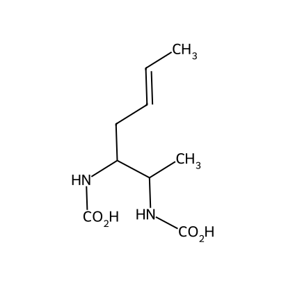 CC=CCC(NC(=O)O)C(C)NC(=O)O